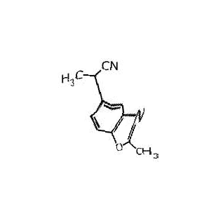 Cc1nc2cc(C(C)C#N)ccc2o1